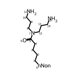 CCCCCCCCCCCCCC(=O)N(CCCN)CCCN